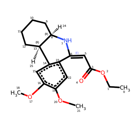 CCOC(=O)/C=C1/N[C@@H]2CCCC[C@@H]2c2cc(OC)c(OC)cc21